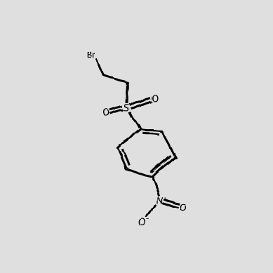 O=[N+]([O-])c1ccc(S(=O)(=O)CCBr)cc1